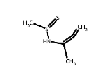 C=C=C(C)NS(C)=S